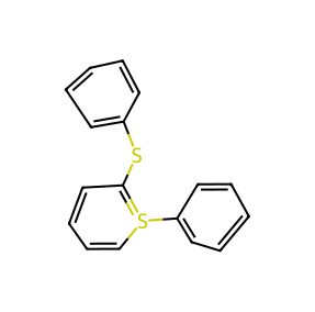 C1=CC(Sc2ccccc2)=S(c2ccccc2)C=C1